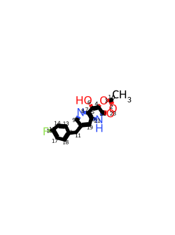 CC(=O)Oc1c(O)c2ncc(Cc3ccc(F)cc3)cc2[nH]c1=O